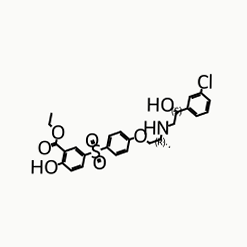 CCOC(=O)c1cc(S(=O)(=O)c2ccc(OC[C@@H](C)NC[C@@H](O)c3cccc(Cl)c3)cc2)ccc1O